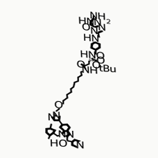 Cc1ccc(C)c(Cn2c(C(O)c3ccncc3)nc3ccc(-c4cnn(CCOCCCCCCCCCCCCNC(=O)CC[C@H](NC(=O)c5ccc(NCc6cnc7nc(N)[nH]c(=O)c7n6)cc5)C(=O)OC(C)(C)C)c4)cc32)c1